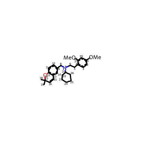 COc1ccc(CCN(Cc2ccc3c(c2)C=CC(C)(C)O3)C2CCCCC2)c(OC)c1